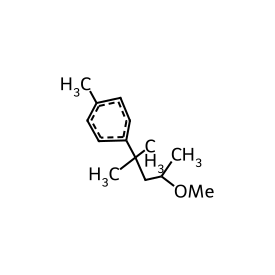 COC(C)CC(C)(C)c1ccc(C)cc1